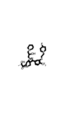 C[C@H](O)C(=O)C1Cc2c(c(-c3ccc(C(F)(F)F)c(SCCN4CCC(F)CC4)c3)nn2CC(O)CN2CCCCC2)CN1